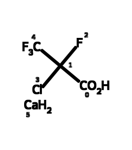 O=C(O)C(F)(Cl)C(F)(F)F.[CaH2]